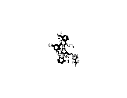 Cc1cc(Cl)cc(C(=O)NC(C)c2cccc(C(F)(F)F)c2)c1NC(=O)c1cc(Cn2nnc(C(F)(F)F)n2)nn1-c1ncccc1Cl